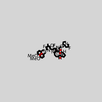 COc1ccc(CN(Cc2ccc(OC)cc2)c2nc(-c3nc4c5c(nc(OC[C@@]67CCCN6C[C@H](F)C7)nc5c3F)N3C[C@H]5CC[C@@H]([C@H]3CCC4)N5C(=O)OC(C)(C)C)c(C(F)(F)F)c(C)c2F)cc1